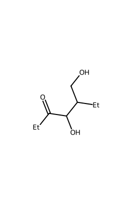 CCC(=O)C(O)C(CC)CO